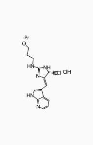 CC(C)OCCCNC1=N/C(=C\c2c[nH]c3ncccc23)C(=O)N1.Cl.Cl